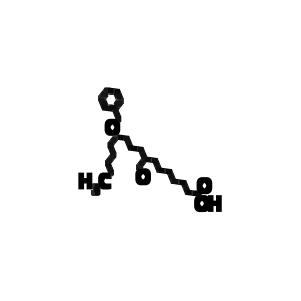 CCCCCC(CCCC(C=O)CCCCCCC(=O)O)OCc1ccccc1